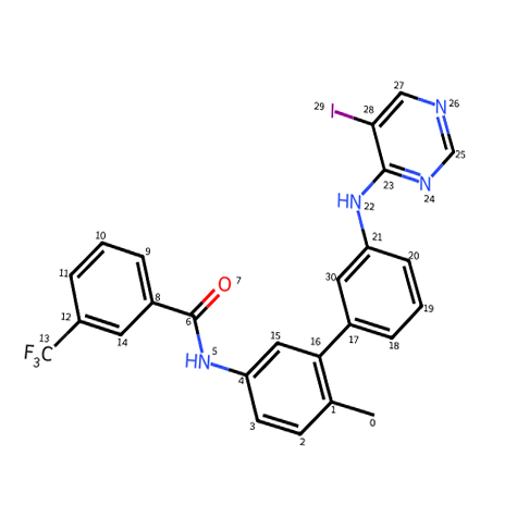 Cc1ccc(NC(=O)c2cccc(C(F)(F)F)c2)cc1-c1cccc(Nc2ncncc2I)c1